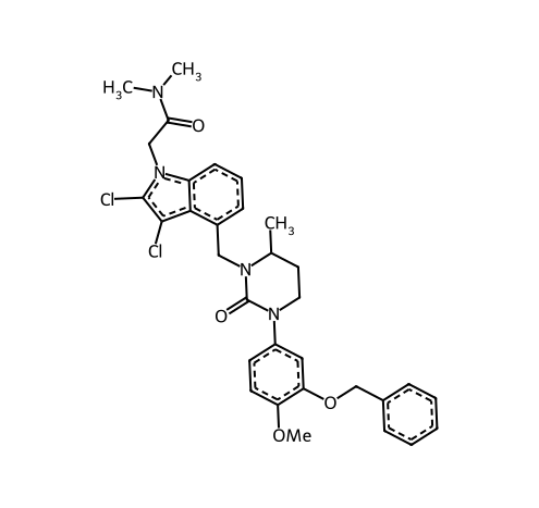 COc1ccc(N2CCC(C)N(Cc3cccc4c3c(Cl)c(Cl)n4CC(=O)N(C)C)C2=O)cc1OCc1ccccc1